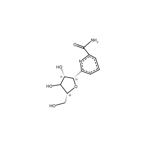 NC(=O)c1cccc([C@@H]2O[C@H](CO)C(O)[C@@H]2O)n1